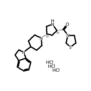 Cl.Cl.Cl.O=C([C@@H]1C[C@H](N2CCC(N3CCc4ccccc43)CC2)CN1)N1CCSC1